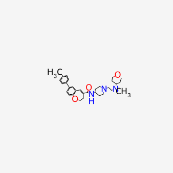 Cc1ccc(-c2ccc3c(c2)C=C(C(=O)NC2CCN(CCN(C)C4CCOCC4)CC2)CCO3)cc1